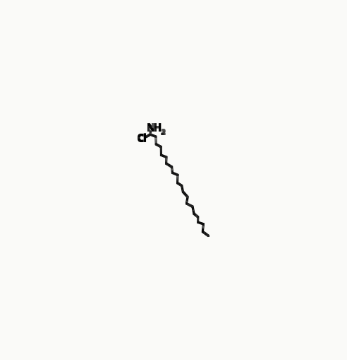 CCCCCCCCCCCCCCCCCCCCCC(N)Cl